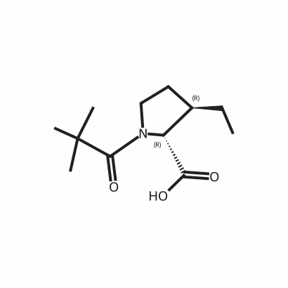 CC[C@@H]1CCN(C(=O)C(C)(C)C)[C@H]1C(=O)O